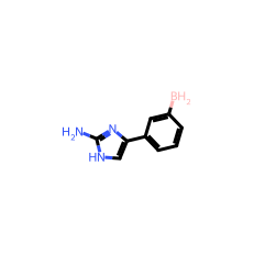 Bc1cccc(-c2c[nH]c(N)n2)c1